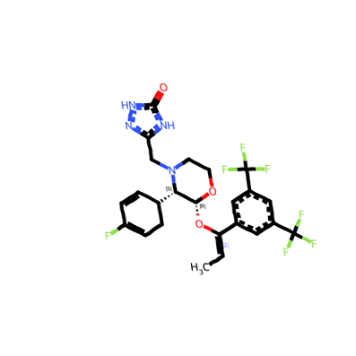 C/C=C(\O[C@H]1OCCN(Cc2n[nH]c(=O)[nH]2)[C@H]1C1C=CC(F)=CC1)c1cc(C(F)(F)F)cc(C(F)(F)F)c1